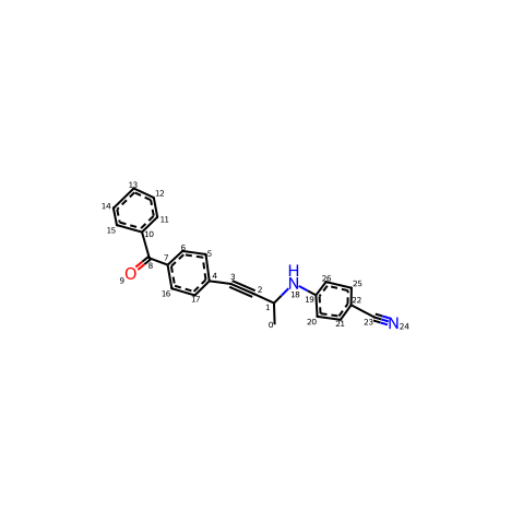 CC(C#Cc1ccc(C(=O)c2ccccc2)cc1)Nc1ccc(C#N)cc1